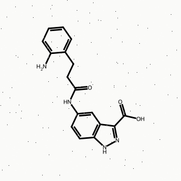 Nc1ccccc1CCC(=O)Nc1ccc2[nH]nc(C(=O)O)c2c1